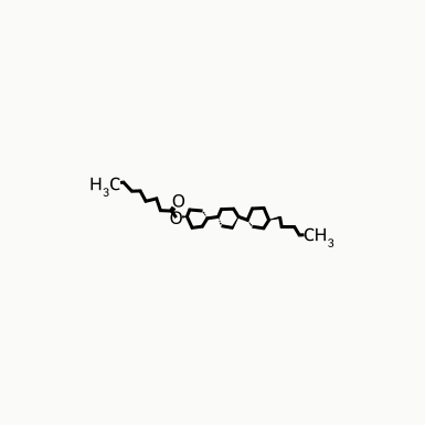 CCCCCCCC(=O)O[C@H]1CC[C@H]([C@H]2CC[C@H]([C@H]3CC[C@H](CCCCC)CC3)CC2)CC1